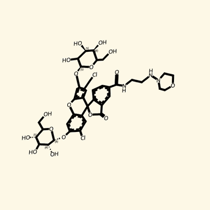 O=C(NCCNN1CCOCC1)c1ccc2c(c1)C(=O)OC21c2cc(Cl)c(O[C@@H]3OC(CO)[C@H](O)[C@H](O)C3O)cc2Oc2cc(O[C@H]3OC(CO)[C@@H](O)C(O)[C@H]3O)c(Cl)cc21